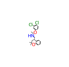 CC(NC[C@@H]1CC(C)(C)Oc2ccccc21)Oc1ccc(Cl)c(Cl)c1